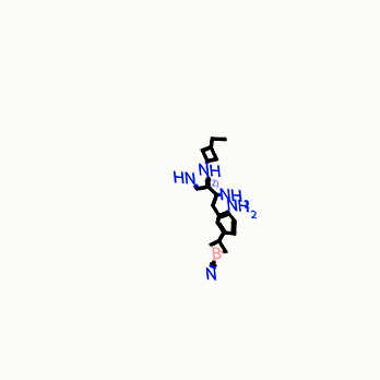 CCC1CC(N/C=C(\C=N)C(N)Cc2cc(C3CB(C#N)C3)ccc2N)C1